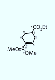 CCOC(=O)C1CC=C(B(OC)OC)CC1